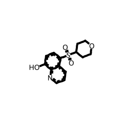 O=S(=O)(c1ccc(O)c2ncccc12)C1CCOCC1